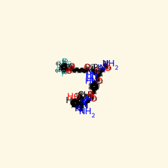 CCN(Cc1nc2c(N)nc3ccccc3c2n1CC(C)(C)O)C(=O)OCc1ccc(NC(=O)C(CCCNC(N)=O)NC(=O)[C@@H](NC(=O)CCCCCC(=O)Oc2c(F)c(F)c(F)c(F)c2F)C(C)C)cc1